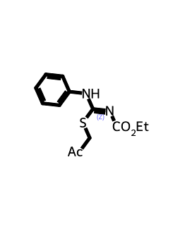 CCOC(=O)/N=C(/Nc1ccccc1)SCC(C)=O